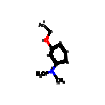 CC(=O)COc1cccc(N(C)C)c1